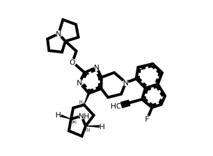 C#Cc1c(F)ccc2cccc(N3CCc4c(nc(OCC56CCCN5CCC6)nc4[C@@H]4C[C@H]5CC[C@@H](C4)N5)C3)c12